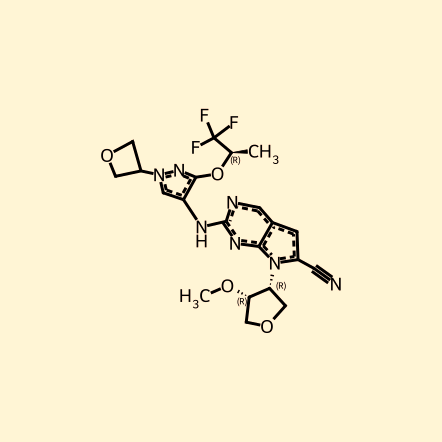 CO[C@H]1COC[C@H]1n1c(C#N)cc2cnc(Nc3cn(C4COC4)nc3O[C@H](C)C(F)(F)F)nc21